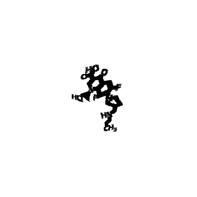 CCCNCC1CCN(c2c(F)cc3c(=O)c(C(=O)O)cn(C4CC4)c3c2F)C1.Cl